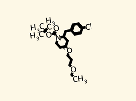 CCOCCCO[C@@H]1CCN(C(=O)OC(C)(C)C)C(Cc2ccc(Cl)cc2)C1